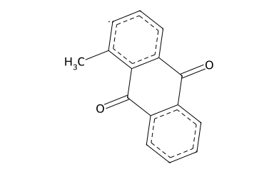 Cc1[c]ccc2c1C(=O)c1ccccc1C2=O